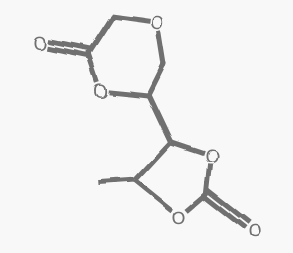 CC1OC(=O)OC1C1COCC(=O)O1